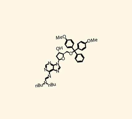 CCCCN(C=Nc1ncnc2c1ncn2[C@H]1C[C@H](O)[C@@H](COC(c2ccccc2)(c2ccc(OC)cc2)c2ccc(OC)cc2)O1)CCCC